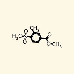 COC(=O)c1ccc(S(C)(=O)=O)c(C)c1